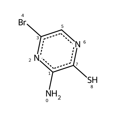 Nc1nc(Br)cnc1S